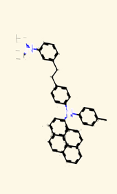 CCN(CC)c1cccc(CCc2ccc(N(c3ccc(C)cc3)c3ccc4ccc5cccc6ccc3c4c56)cc2)c1